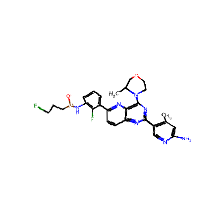 Cc1cc(N)ncc1-c1nc(N2CCOCC2C)c2nc(-c3cccc(N[S+]([O-])CCCF)c3F)ccc2n1